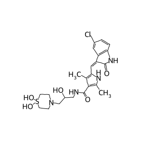 Cc1[nH]c(/C=C2\C(=O)Nc3ccc(Cl)cc32)c(C)c1C(=O)NCC(O)CN1CCS(O)(O)CC1